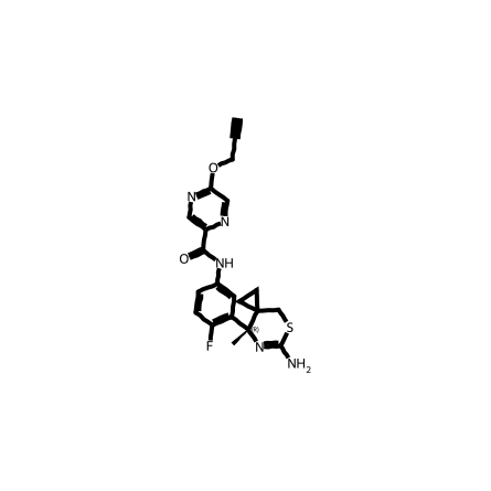 C#CCOc1cnc(C(=O)Nc2ccc(F)c([C@@]3(C)N=C(N)SCC34CC4)c2)cn1